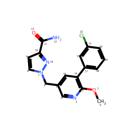 COc1ncc(Cn2ccc(C(N)=O)n2)cc1-c1cccc(Cl)c1